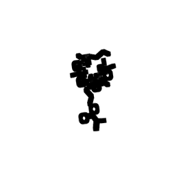 C=C(C)C(=O)OCCC[Si](C)(O[Si](C)(C)O[Si](C)(C)C)O[Si](C)(C)O[Si](C)(C)CCCC